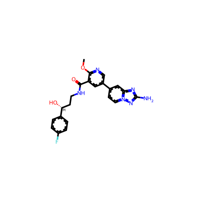 COc1ncc(-c2ccn3nc(N)nc3c2)cc1C(=O)NCC[C@@H](O)c1ccc(F)cc1